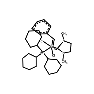 CN1CCN(C)[C]1=[Ru]([Cl])([Cl])(=[CH]c1ccccc1)[PH](C1CCCCC1)(C1CCCCC1)C1CCCCC1